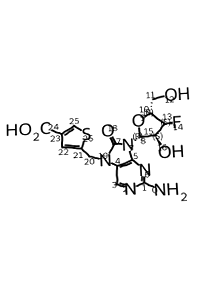 Nc1ncc2c(n1)n([C@@H]1O[C@H](CO)[C@@H](F)[C@H]1O)c(=O)n2Cc1cc(C(=O)O)cs1